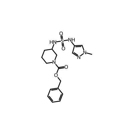 Cn1cc(NS(=O)(=O)NC2CCCN(C(=O)OCc3ccccc3)C2)cn1